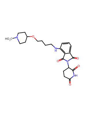 O=C1CCC(N2C(=O)c3cccc(NCCCCOC4CCN(C(=O)O)CC4)c3C2=O)C(=O)N1